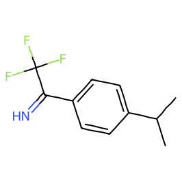 CC(C)c1ccc(C(=N)C(F)(F)F)cc1